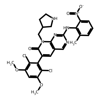 COc1cc(OC)c(Cl)c(-c2cc3cnc(Nc4c(C)cccc4[N+](=O)[O-])nc3n(CC3CCNC3)c2=O)c1Cl